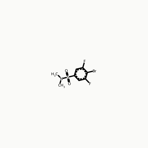 CN(C)S(=O)(=O)c1cc(F)c(Br)c(F)c1